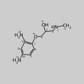 CNCC(O)COc1ccc(N)cc1N